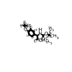 CC(C)(C)OC(=O)NC(C(=O)O)c1ccc(OC(F)(F)F)c(F)c1